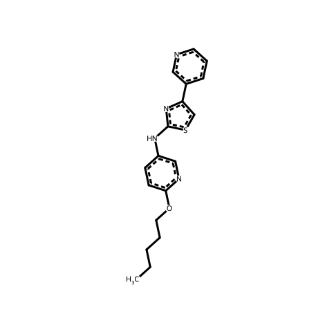 CCCCCOc1ccc(Nc2nc(-c3cccnc3)cs2)cn1